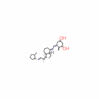 C=C1/C(=C\C=C2/CCC[C@]3(C)[C@@H]([C@H](C)/C=C/[C@@H]4CCCC4C)CC[C@@H]23)C[C@@H](O)C[C@@H]1O